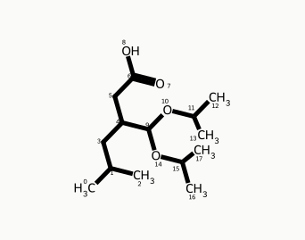 CC(C)CC(CC(=O)O)C(OC(C)C)OC(C)C